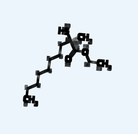 CCCCCCCC[C@@](C)(S)C(=O)OCC